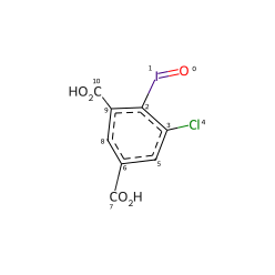 O=Ic1c(Cl)cc(C(=O)O)cc1C(=O)O